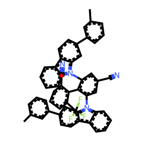 Cc1cccc(-c2ccc3c4ccccc4n(-c4cc(C#N)cc(-n5c6ccccc6c6ccc(-c7cccc(C)c7)cc65)c4-c4c(C#N)cccc4C(F)(F)F)c3c2)c1